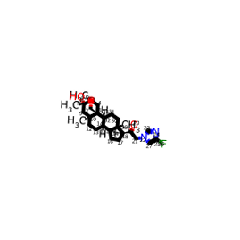 COC[C@]12CC[C@@](C)(O)C[C@]1(C)CC[C@H]1[C@@H]3CC[C@H](C(=O)Cn4cnc(F)c4)[C@@]3(C)CC[C@@H]12